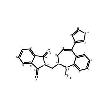 CN1c2ccccc2C(c2ccsc2)=CCN1CN1C(=O)c2ccccc2C1=O